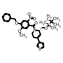 COc1cc(C(=O)N2CCC(c3ccsc3)=C[C@H]2CO[Si](C)(C)C(C)(C)C)c([N+](=O)[O-])cc1OCc1ccccc1